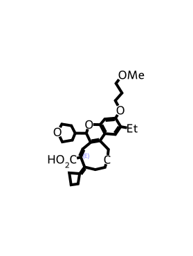 CCc1cc2c(cc1OCCCOC)OC(C1CCOCC1)C1=C2CCCCC(=C2CCC2)/C(C(=O)O)=C\1